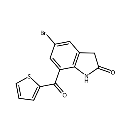 O=C1Cc2cc(Br)cc(C(=O)c3cccs3)c2N1